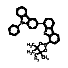 CC1(C)OB(c2cccc3c2sc2c(-c4ccc5c(c4)c4ccccc4n5-c4ccccc4)cccc23)OC1(C)C